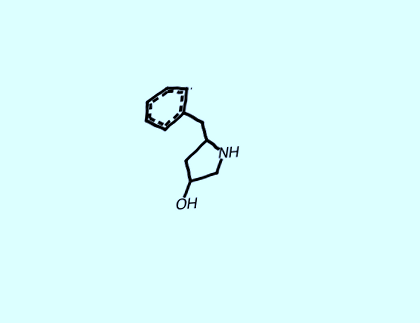 OC1CNC(Cc2[c]cccc2)C1